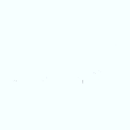 COCCOCCNC(=O)COCCOCCNC(=O)CC[C@H](NC(=O)CCCCCCC(=O)O)C(=O)O